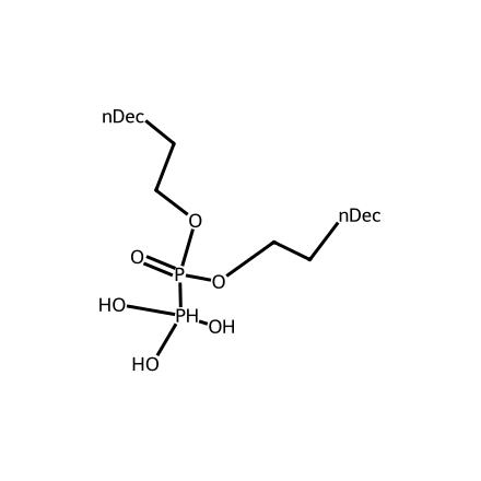 CCCCCCCCCCCCOP(=O)(OCCCCCCCCCCCC)[PH](O)(O)O